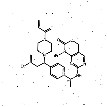 C=CC(=O)N1CCN(C(CC(=C)CC)c2ccc([C@H](C)Nc3ncc4c(n3)N(C(C)C)C(=O)OC4)cc2)CC1